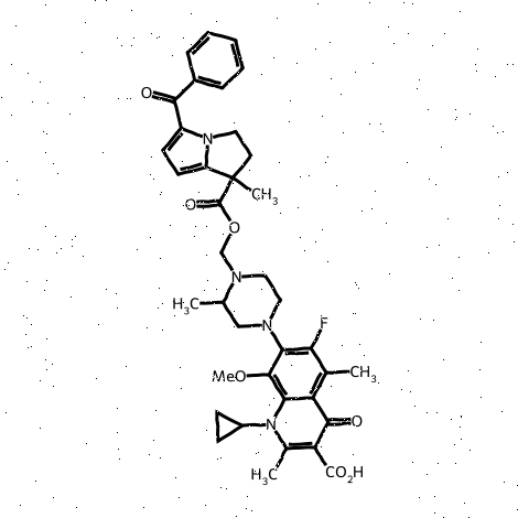 COc1c(N2CCN(COC(=O)C3(C)CCn4c(C(=O)c5ccccc5)ccc43)C(C)C2)c(F)c(C)c2c(=O)c(C(=O)O)c(C)n(C3CC3)c12